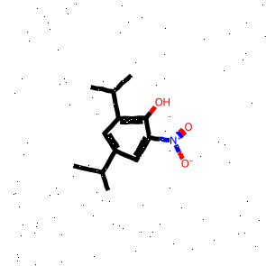 CC(C)c1cc(C(C)C)c(O)c([N+](=O)[O-])c1